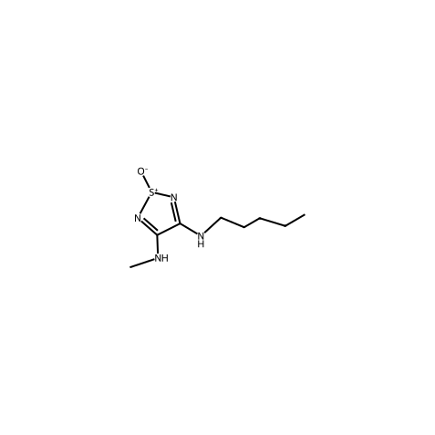 CCCCCNc1n[s+]([O-])nc1NC